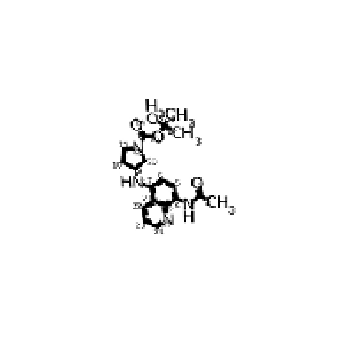 CC(=O)Nc1ccc(N[C@H]2CCN(C(=O)OC(C)(C)C)C2)c2cccnc12